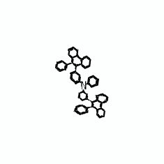 c1ccc(-c2c(-c3cccc(N(c4ccccc4)c4cccc(-c5c(-c6ccccc6)c6ccccc6c6ccccc56)c4)c3)c3ccccc3c3ccccc23)cc1